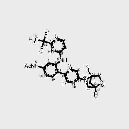 CC(=O)Nc1cc(Nc2ccnc(C(C)(F)F)n2)c(-c2cnc(N3C[C@@H]4C[C@H]3CO4)cn2)cn1